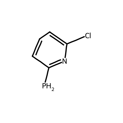 Pc1cccc(Cl)n1